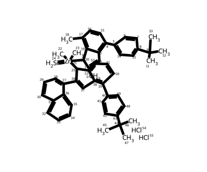 CC1=Cc2c(-c3ccc(C(C)(C)C)cc3)ccc(C)c2[CH]1[Zr]([CH3])([CH3])(=[SiH2])[CH]1C(c2cccc3ccccc23)=Cc2c(-c3ccc(C(C)(C)C)cc3)cccc21.Cl.Cl